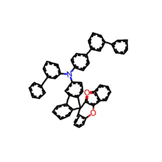 c1ccc(-c2cccc(-c3ccc(N(c4cccc(-c5ccccc5)c4)c4ccc5c(c4)-c4ccccc4C54c5ccccc5Oc5c4oc4ccccc54)cc3)c2)cc1